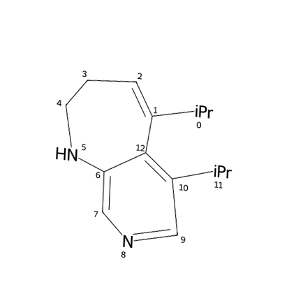 CC(C)C1=CCCNc2cncc(C(C)C)c21